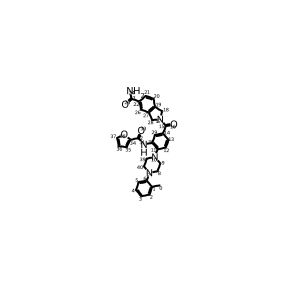 Cc1ccccc1N1CCN(c2ccc(C(=O)N3Cc4ccc(C(N)=O)cc4C3)cc2NC(=O)c2ccco2)CC1